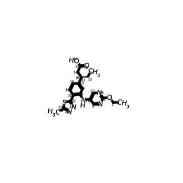 CCOc1ncc(Nc2cc([C@H](CC)CC(=O)O)ccc2-c2nnc(C)s2)cn1